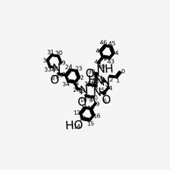 C=CCN1CC(=O)N2[C@@H](Cc3ccc(O)cc3)C(=O)N(Cc3cccc(C(=O)N4CCCCC4)c3)C[C@@H]2N1C(=O)NCc1ccccc1